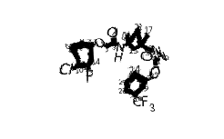 CC1(NC(=O)COc2ccc(Cl)c(F)c2)CC(C)(c2nnc(Oc3cccc(C(F)(F)F)c3)o2)C1